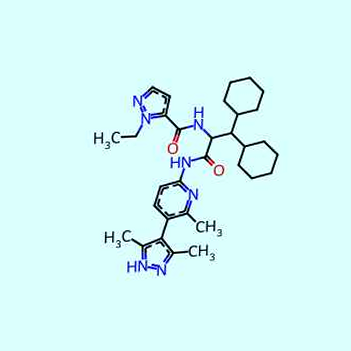 CCn1nccc1C(=O)NC(C(=O)Nc1ccc(-c2c(C)n[nH]c2C)c(C)n1)C(C1CCCCC1)C1CCCCC1